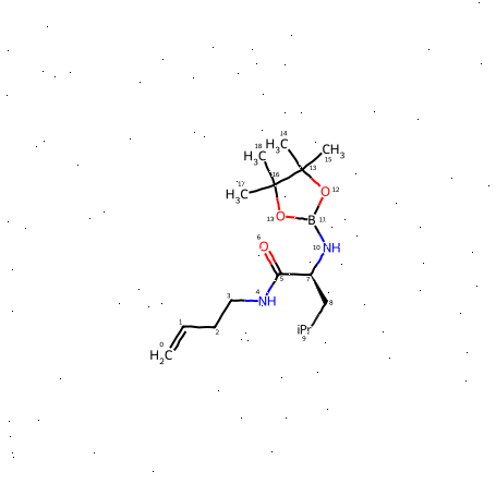 C=CCCNC(=O)[C@H](CC(C)C)NB1OC(C)(C)C(C)(C)O1